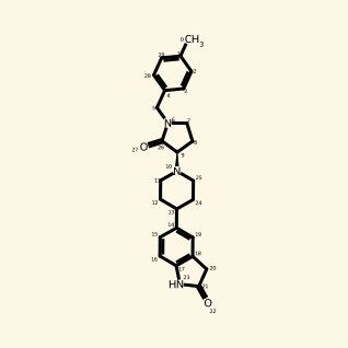 Cc1ccc(CN2CC[C@@H](N3CCC(c4ccc5c(c4)CC(=O)N5)CC3)C2=O)cc1